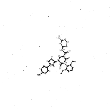 CCc1cccc(CC)c1-n1c(C)c(C(=O)NC2CCCC(O)C2)cc(-c2nc(-c3ccc(Cl)cc3)cs2)c1=O